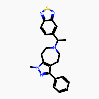 CC(c1ccc2nsnc2c1)N1CCc2c(-c3ccccc3)nn(C)c2CC1